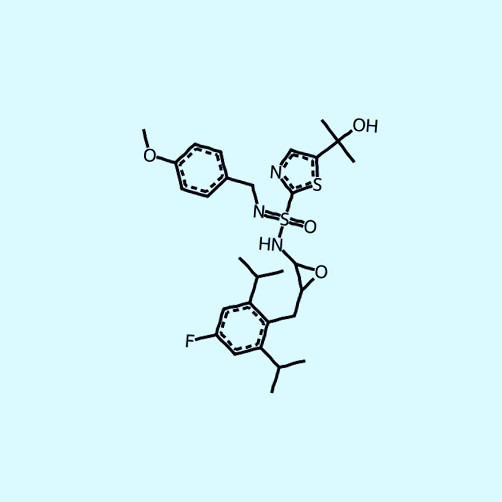 COc1ccc(CN=S(=O)(NC2OC2Cc2c(C(C)C)cc(F)cc2C(C)C)c2ncc(C(C)(C)O)s2)cc1